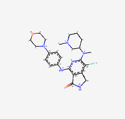 CN1CCCC(N(C)c2nc(Nc3ccc(N4CCOCC4)cc3)c3c(c2F)CNC3=O)C1